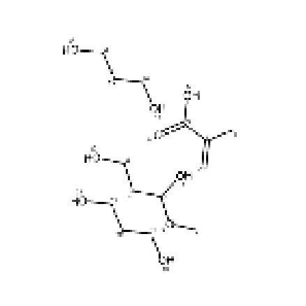 C=C(C)C(=O)O.COC(O)CCO.OCCCO.OCCCO